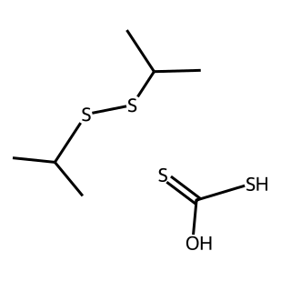 CC(C)SSC(C)C.OC(=S)S